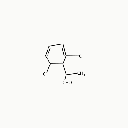 CC(C=O)c1c(Cl)cccc1Cl